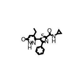 CCc1cc(=O)[nH]nc1-c1sc(C(=O)NC2CC2)nc1-c1ccccc1